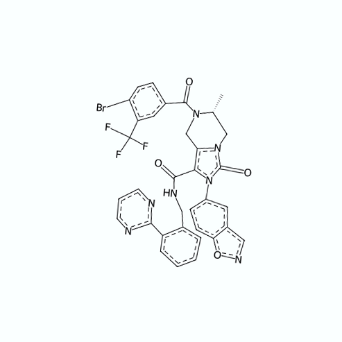 C[C@@H]1Cn2c(c(C(=O)NCc3ccccc3-c3ncccn3)n(-c3ccc4oncc4c3)c2=O)CN1C(=O)c1ccc(Br)c(C(F)(F)F)c1